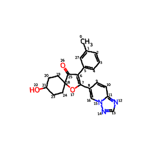 Cc1cccc(C2=C(c3ccc4ncnn4c3)OC3(CCC(O)CC3)C2=O)c1